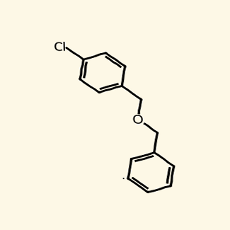 Clc1ccc(COCc2c[c]ccc2)cc1